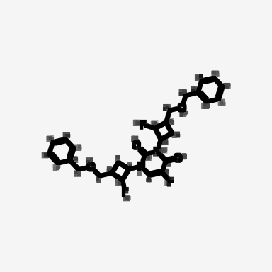 O=c1c(F)cn(C2CC(COCc3ccccc3)C2F)c(=O)n1C1CC(COCc2ccccc2)C1F